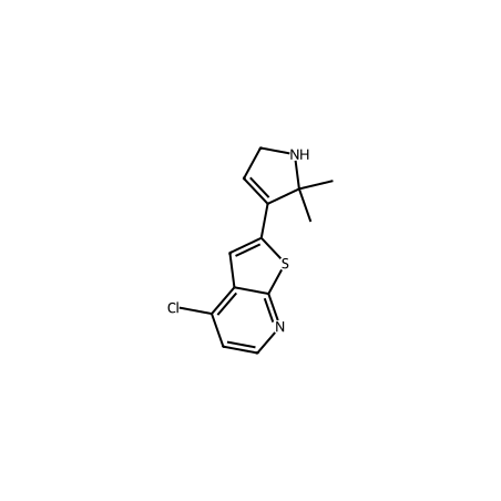 CC1(C)NCC=C1c1cc2c(Cl)ccnc2s1